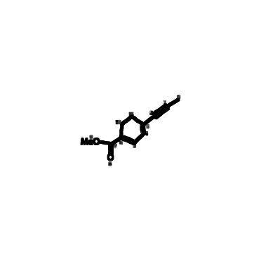 CC#CC1=CC=C(C(=O)OC)CC1